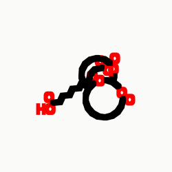 O=C(O)CCCCCCC1CCC(=O)OCC23COC(=O)CCCCCCCCCC1(CCCCCCCC(=O)OC2)C(=O)OC3